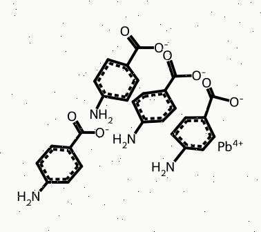 Nc1ccc(C(=O)[O-])cc1.Nc1ccc(C(=O)[O-])cc1.Nc1ccc(C(=O)[O-])cc1.Nc1ccc(C(=O)[O-])cc1.[Pb+4]